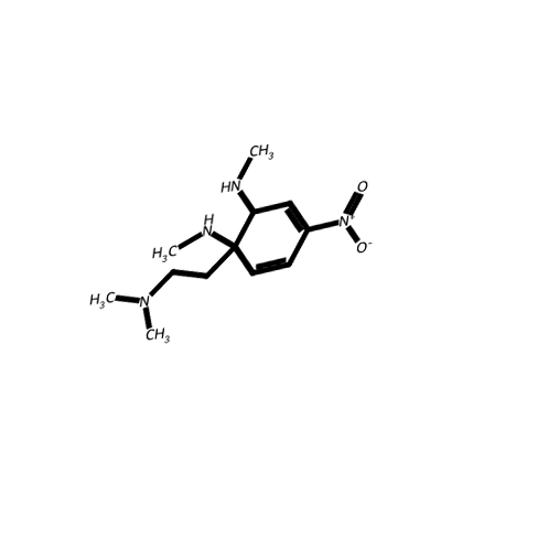 CNC1C=C([N+](=O)[O-])C=CC1(CCN(C)C)NC